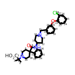 CC(C)(C(=O)O)N1CCC(C(=O)NC2CCN(Cc3cccc(Oc4ccccc4Cl)c3)CC2)(c2ccccc2)CC1